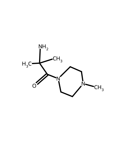 CN1CCN(C(=O)C(C)(C)N)CC1